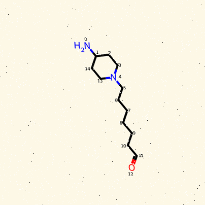 NC1CCN(CCCCCC[C]=O)CC1